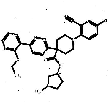 CCOc1ncccc1-c1ccc(C2(C(=O)N[C@H]3CCN(C)C3)CCN(c3ccc(Cl)cc3C#N)CC2)nn1